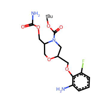 CC(C)(C)OC(=O)N1CC(COc2c(N)cccc2F)OCC1COC(N)=O